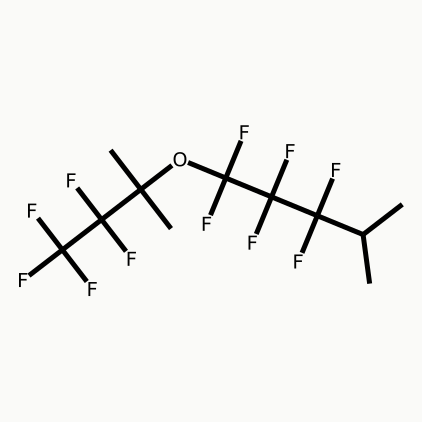 CC(C)C(F)(F)C(F)(F)C(F)(F)OC(C)(C)C(F)(F)C(F)(F)F